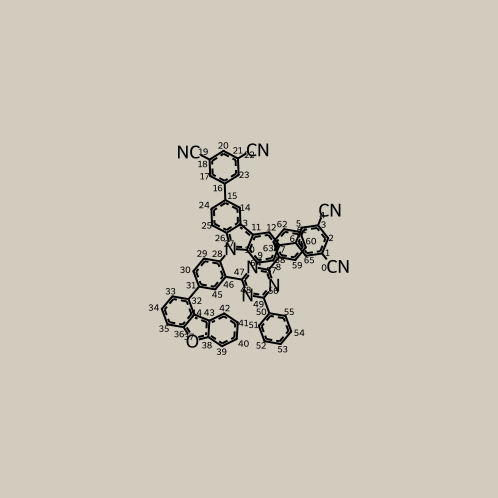 N#Cc1cc(C#N)cc(-c2ccc3c(c2)c2cc(-c4cc(C#N)cc(C#N)c4)ccc2n3-c2ccc(-c3cccc4oc5ccccc5c34)cc2-c2nc(-c3ccccc3)nc(-c3ccccc3)n2)c1